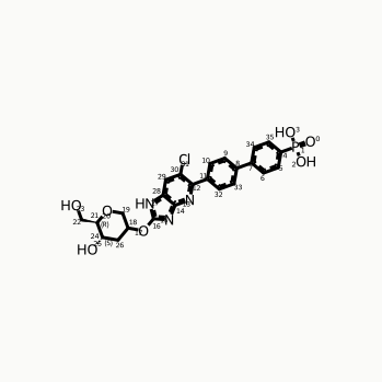 O=P(O)(O)c1ccc(-c2ccc(-c3nc4nc(OC5CO[C@H](CO)[C@@H](O)C5)[nH]c4cc3Cl)cc2)cc1